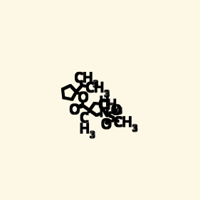 CCC(C)(CNS(C)(=O)=O)C(=O)OC1(C(C)C)CCCC1